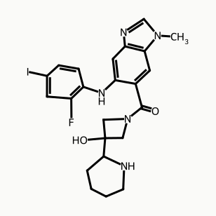 Cn1cnc2cc(Nc3ccc(I)cc3F)c(C(=O)N3CC(O)(C4CCCCN4)C3)cc21